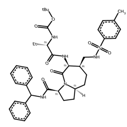 CC[C@H](NC(=O)OC(C)(C)C)C(=O)N[C@@H]1C(=O)N2[C@@H](CC[C@@H]1CNS(=O)(=O)c1ccc(C)cc1)CC[C@H]2C(=O)NC(c1ccccc1)c1ccccc1